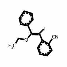 N#Cc1ccccc1C(I)=C(OCC(F)(F)F)c1ccccc1